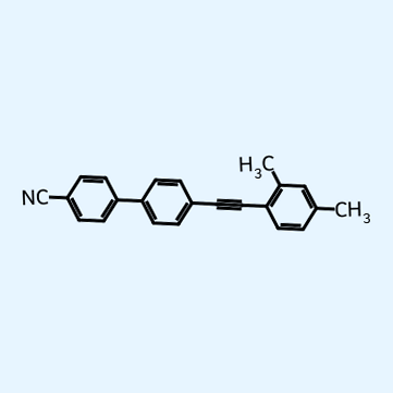 Cc1ccc(C#Cc2ccc(-c3ccc(C#N)cc3)cc2)c(C)c1